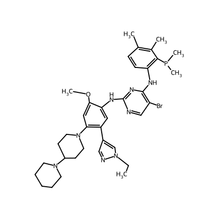 CCn1cc(-c2cc(Nc3ncc(Br)c(Nc4ccc(C)c(C)c4P(C)C)n3)c(OC)cc2N2CCC(N3CCCCC3)CC2)cn1